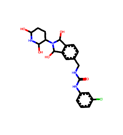 O=C(NCc1ccc2c(c1)C(O)N(C1CCC(O)NC1O)C2O)Nc1cccc(Cl)c1